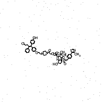 Cc1ncsc1-c1ccc(CNC(=O)[C@@H]2C[C@@H](O)CN2C(=O)C(NC(=O)COCC(=O)N2CCN(CCOc3ccc(C(=C(CCCl)c4ccccc4)c4ccc(O)cc4)cc3)CC2)C(C)(C)C)cc1